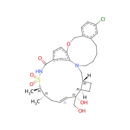 C[C@@H]1[C@@H](C)C/C=C/[C@](O)(CO)[C@@H]2CC[C@H]2CN2CCCCc3cc(Cl)ccc3COc3ccc(cc32)C(=O)NS1(=O)=O